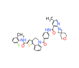 Cc1cnc(N2CC3(CCOCC3)C2)c(C(=O)Nc2ccc(C(=O)N3CCc4cc(C(=O)Nc5c(C)cccc5F)sc4-c4ccccc43)cc2)c1